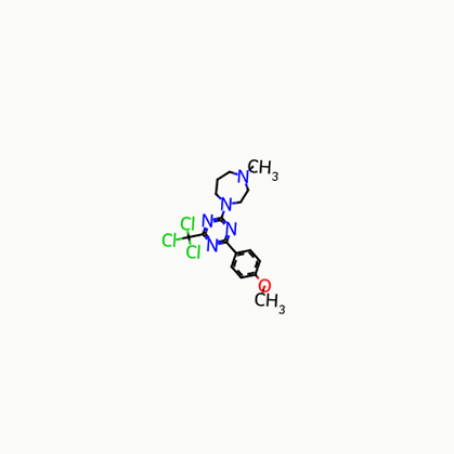 COc1ccc(-c2nc(N3CCCN(C)CC3)nc(C(Cl)(Cl)Cl)n2)cc1